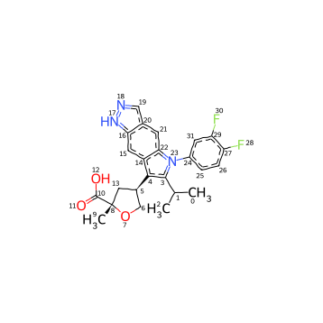 CC(C)c1c([C@H]2CO[C@](C)(C(=O)O)C2)c2cc3[nH]ncc3cc2n1-c1ccc(F)c(F)c1